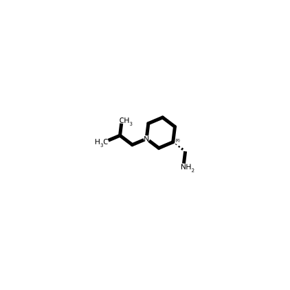 C[C](C)CN1CCC[C@H](CN)C1